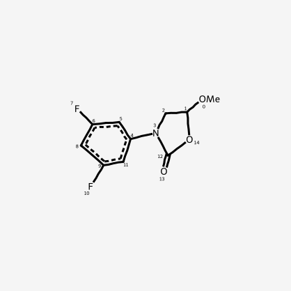 COC1CN(c2cc(F)cc(F)c2)C(=O)O1